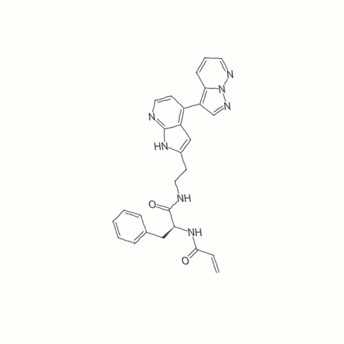 C=CC(=O)N[C@@H](Cc1ccccc1)C(=O)NCCc1cc2c(-c3cnn4ncccc34)ccnc2[nH]1